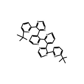 CC(C)(C)c1cccc(-c2nccnc2-c2cccnc2-c2ncccc2-c2nccnc2-c2cccc(C(C)(C)C)n2)n1